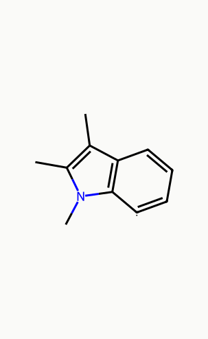 Cc1c(C)n(C)c2[c]cccc12